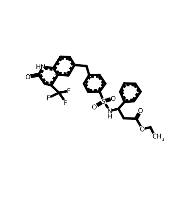 CCOC(=O)CC(NS(=O)(=O)c1ccc(Cc2ccc3[nH]c(=O)cc(C(F)(F)F)c3c2)cc1)c1ccccc1